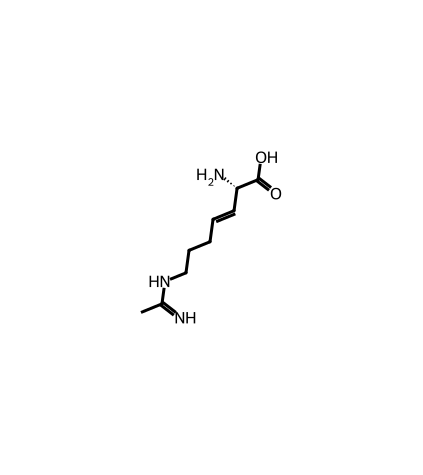 CC(=N)NCCC/C=C/[C@H](N)C(=O)O